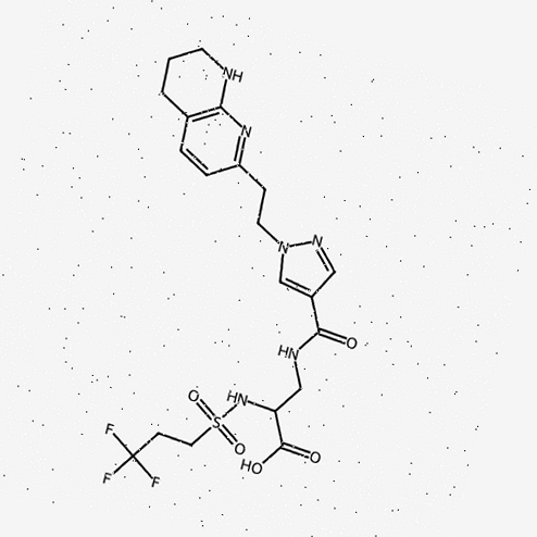 O=C(NCC(NS(=O)(=O)CCC(F)(F)F)C(=O)O)c1cnn(CCc2ccc3c(n2)NCCC3)c1